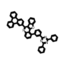 c1ccc(-c2nc(-c3ccccc3)nc(-c3cccc(-c4cccc5nc(-c6ccc7c8ccccc8c8ccccc8c7c6)c6c7ccccc7oc6c45)c3)n2)cc1